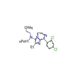 CCCCCN(CCOC)c1c(CC)nc2c(-c3ccc(Cl)cc3Cl)nccn12